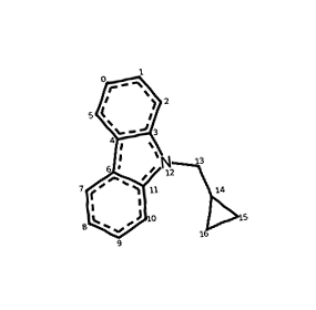 c1ccc2c(c1)c1ccccc1n2CC1CC1